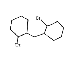 CCC1CCCCC1CC1CCCCC1CC